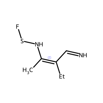 CC/C(C=N)=C(\C)NSF